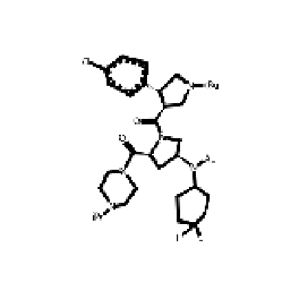 CC(=O)N(C1CCC(F)(F)CC1)[C@H]1C[C@@H](C(=O)N2CCN(C(C)C)CC2)N(C(=O)[C@@H]2CN(C(C)(C)C)C[C@H]2c2ccc(Cl)cc2)C1